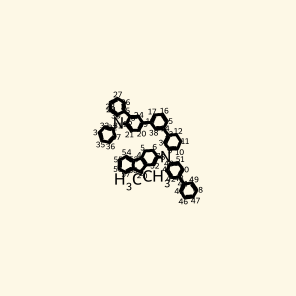 CC1(C)C2=C(CCC(N(C3=CCCC(c4cccc(-c5ccc6c(c5)c5ccccc5n6-c5ccccc5)c4)=C3)c3ccc(-c4ccccc4)cc3)=C2)c2ccccc21